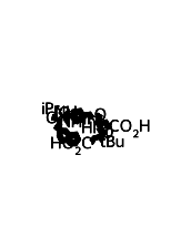 CC(C)NC(=O)C(Cc1ccc2ccccc2c1)NC(=O)c1ccc(CNC(=O)C(CCC(=O)O)NC(=O)C(CCC(=O)O)C(C)(C)C)cc1